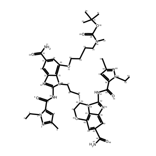 CCn1nc(C)cc1C(=O)Nc1nc2cc(C(N)=O)cc(OCCCCN(C)C(=O)OC(C)(C)C)c2n1CCC[C@H]1COc2cc(C(N)=O)cc3nc(NC(=O)c4cc(C)nn4CC)n1c23